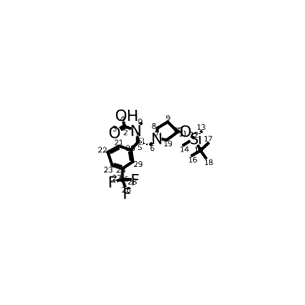 CN(C(=O)O)[C@H](CN1CC[C@H](O[Si](C)(C)C(C)(C)C)C1)c1cccc(C(F)(F)F)c1